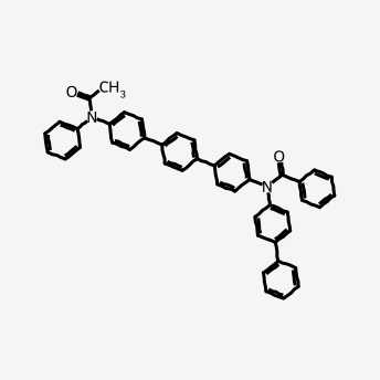 CC(=O)N(c1ccccc1)c1ccc(-c2ccc(-c3ccc(N(C(=O)c4ccccc4)c4ccc(-c5ccccc5)cc4)cc3)cc2)cc1